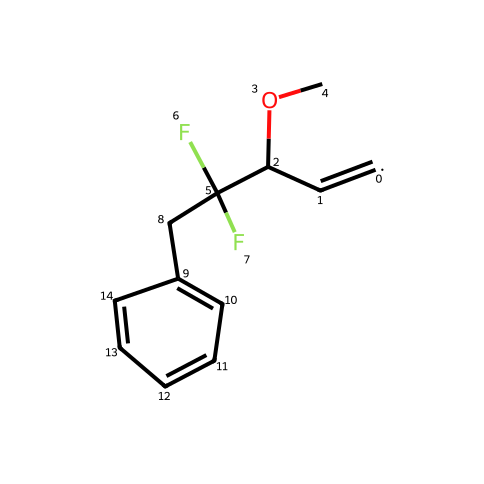 [CH]=CC(OC)C(F)(F)Cc1ccccc1